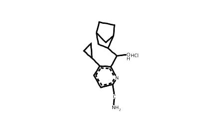 Cl.NCc1ccc(C2CC2)c(C(O)C2CC3CCC2C3)n1